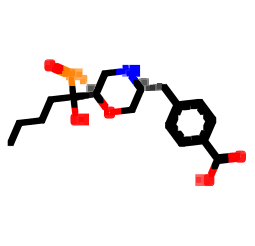 CCCCC(O)([PH2]=O)[C@H]1CN[C@H](Cc2ccc(C(=O)O)cc2)CO1